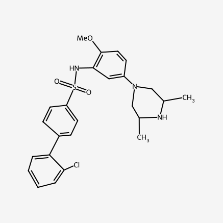 COc1ccc(N2CC(C)NC(C)C2)cc1NS(=O)(=O)c1ccc(-c2ccccc2Cl)cc1